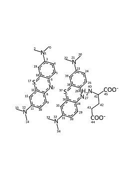 CN(C)c1ccc2nc3ccc(N(C)C)cc3[s+]c2c1.CN(C)c1ccc2nc3ccc(N(C)C)cc3[s+]c2c1.NC(CCC(=O)[O-])C(=O)[O-]